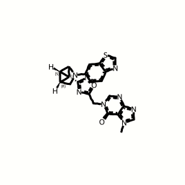 Cn1cnc2ncn(Cc3nc([C@@]45C6[C@H]4[C@H]5CN6c4ccc5ncsc5c4)no3)c(=O)c21